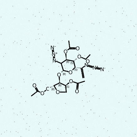 C=C(N=[N+]=[N-])[C@@H]1O[C@H](O[C@H]2[C@@H](OC(C)=O)CO[C@@H]2COC(C)=O)C(N=[N+]=[N-])[C@@H](OC(C)=O)[C@@H]1OC(C)=O